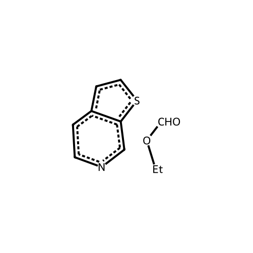 CCOC=O.c1cc2ccsc2cn1